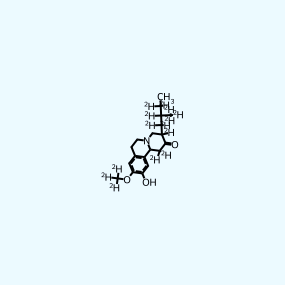 [2H]C([2H])([2H])Oc1cc2c(cc1O)C1N(CC2)CC([2H])(C([2H])([2H])C([2H])(C([2H])([2H])[2H])C([2H])([2H])C)C(=O)C1([2H])[2H]